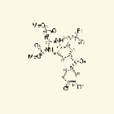 CCC(=O)Nc1cc([S+]([O-])c2ccc(Cl)c(Cl)c2)ccc1NC(=NC(=O)OC)NC(=O)OC